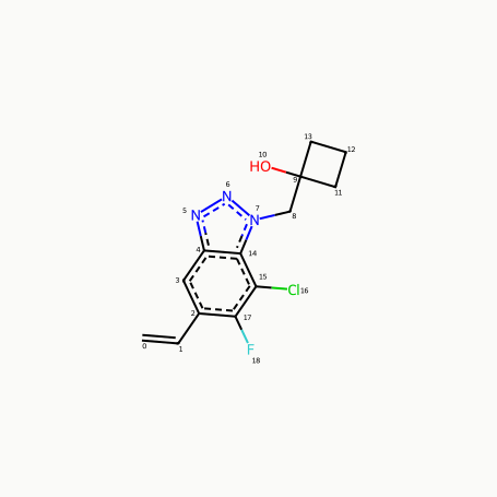 C=Cc1cc2nnn(CC3(O)CCC3)c2c(Cl)c1F